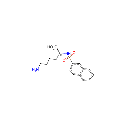 NCCCC[C@H](NS(=O)(=O)c1ccc2ccccc2c1)C(=O)O